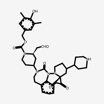 Cc1cc(COC(=O)N2CCC(N3CCc4ccccc4N(N4CCC(C5CCNCC5)CC45C(=O)C5=O)C3=O)C[C@@H]2CC=O)cc(C)c1O